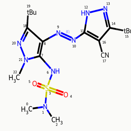 CN(C)S(=O)(=O)Nc1c(/N=N/c2[nH]nc(C(C)(C)C)c2C#N)c(C(C)(C)C)nn1C